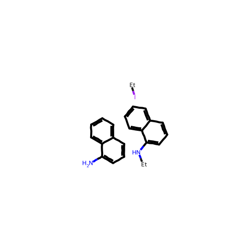 CCI.CCNc1cccc2ccccc12.Nc1cccc2ccccc12